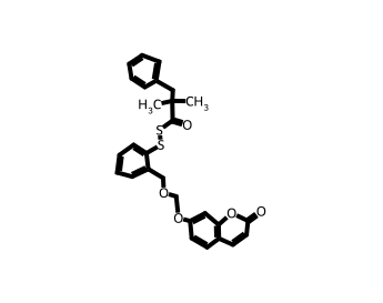 CC(C)(Cc1ccccc1)C(=O)SSc1ccccc1COCOc1ccc2ccc(=O)oc2c1